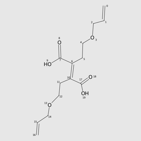 C=CCOCCC(C(=O)O)=C(CCOCC=C)C(=O)O